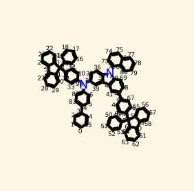 c1ccc(-c2ccc(N(c3ccc(C4(c5ccccc5)c5ccccc5-c5ccccc54)cc3)c3ccc4c(c3)c3cc(-c5ccc(C6(c7ccccc7)c7ccccc7-c7ccccc76)cc5)ccc3n4-c3cccc4ccccc34)cc2)cc1